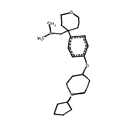 CN(C)CC1(c2ccc(OC3CCN(C4CCCC4)CC3)cc2)CCOCC1